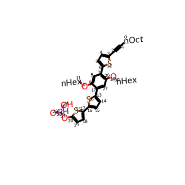 CCCCCCCCC#Cc1ccc(-c2cc(OCCCCCC)c(-c3ccc(-c4ccc(O[PH](=O)O)s4)s3)cc2OCCCCCC)s1